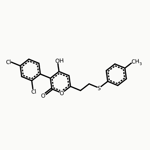 Cc1ccc(SCCc2cc(O)c(-c3ccc(Cl)cc3Cl)c(=O)o2)cc1